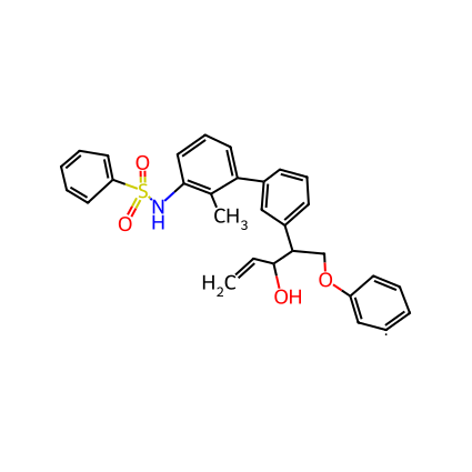 C=CC(O)C(COc1c[c]ccc1)c1cccc(-c2cccc(NS(=O)(=O)c3ccccc3)c2C)c1